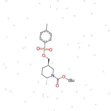 Cc1ccc(S(=O)(=O)OC[C@@H]2CC[C@@H](C)N(C(=O)OC(C)(C)C)C2)cc1